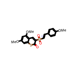 COc1ccc(/C=C/S(=O)(=O)c2cc3c(OC)cc(OC)cc3sc2=O)cc1